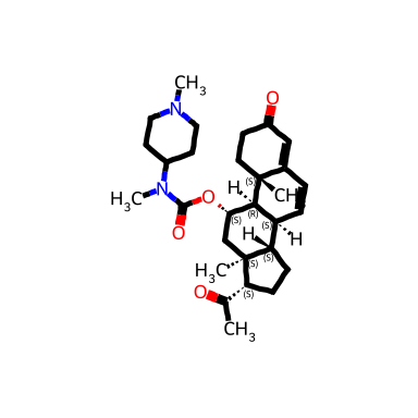 CC(=O)[C@H]1CC[C@H]2[C@@H]3C=CC4=CC(=O)CC[C@@]4(C)[C@@H]3[C@@H](OC(=O)N(C)C3CCN(C)CC3)C[C@]12C